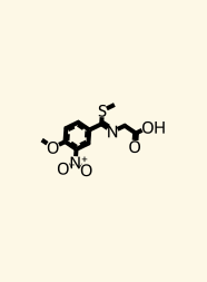 COc1ccc(C(=NCC(=O)O)SC)cc1[N+](=O)[O-]